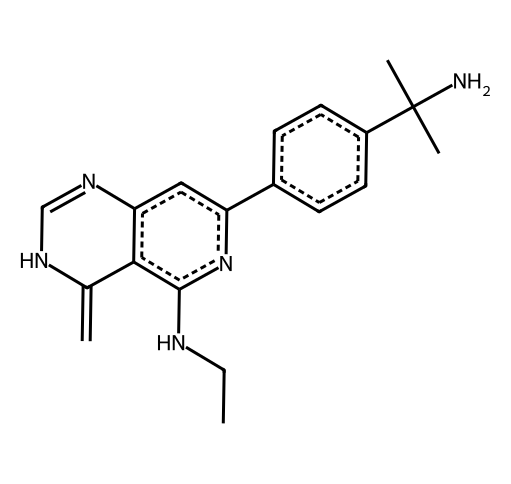 C=C1NC=Nc2cc(-c3ccc(C(C)(C)N)cc3)nc(NCC)c21